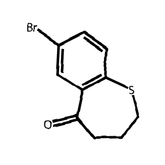 O=C1CCCSc2ccc(Br)cc21